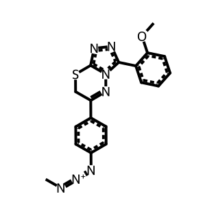 CN=[N+]=Nc1ccc(C2=Nn3c(nnc3-c3ccccc3OC)SC2)cc1